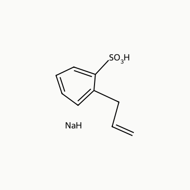 C=CCc1ccccc1S(=O)(=O)O.[NaH]